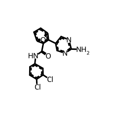 Nc1ncc(-c2c(C(=O)Nc3ccc(Cl)c(Cl)c3)c3ccc2o3)cn1